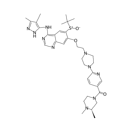 Cc1n[nH]c(Nc2ncnc3cc(OCCN4CCN(c5ccc(C(=O)N6CCN(C)[C@H](C)C6)cn5)CC4)c([S+]([O-])C(C)(C)C)cc23)c1C